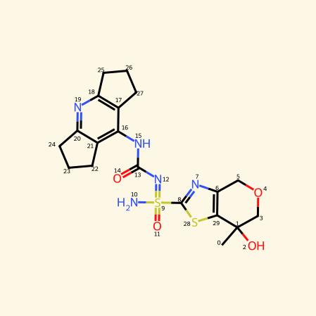 CC1(O)COCc2nc(S(N)(=O)=NC(=O)Nc3c4c(nc5c3CCC5)CCC4)sc21